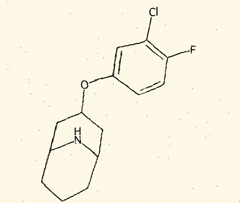 Fc1ccc(OC2CC3CCCC(C2)N3)cc1Cl